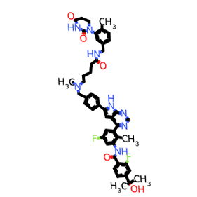 Cc1ccc(CNC(=O)CCCCN(C)Cc2ccc(-c3cc4c(-c5cc(F)cc(NC(=O)c6ccc(C(C)(C)O)cc6F)c5C)ncnc4[nH]3)cc2)cc1N1CCC(=O)NC1=O